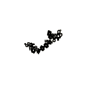 COC(=O)NC(C(=O)N1OC2(CCC2)C[C@H]1c1ncc(-c2ccc(-c3ccc(-c4cnc([C@@H]5CCCN5C(=O)[C@@H](NC(=O)OC)C(C)C)[nH]4)cc3)cc2)[nH]1)C(C)C